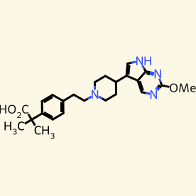 COc1ncc2c(C3CCN(CCc4ccc(C(C)(C)C(=O)O)cc4)CC3)c[nH]c2n1